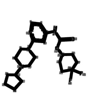 O=C(Nc1ccnc(N2CCN(C3CCCC3)CC2)c1)ON1CCC(F)(F)CC1